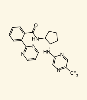 O=C(N[C@H]1CCC[C@@H]1Nc1cnc(C(F)(F)F)cn1)c1ccccc1-c1ncccn1